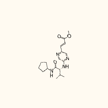 COC(=O)/C=C/c1cnc(N[C@@H](C(=O)NC2CCCC2)C(C)C)cn1